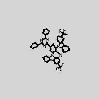 N#Cc1c(-n2c3ccccc3c3cc(C(F)(F)F)ccc32)cc(-c2nc(-c3ccccc3)nc(-c3ccccc3)n2)cc1-n1c2ccccc2c2cc(C(F)(F)F)ccc21